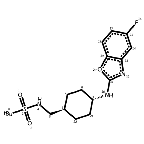 CC(C)(C)S(=O)(=O)NC[C@H]1CC[C@H](Nc2nc3cc(F)ccc3o2)CC1